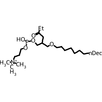 CCCCCCCCCCCCCCCCCOCC(COP(O)OCCC[N+](C)(C)C)CC(=O)CC